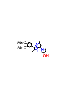 COc1ccc(-c2c(C)nc3c(N4CCC(O)C4)cc(C)nn23)cc1OC